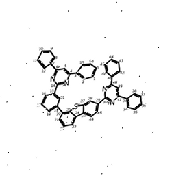 c1ccc(-c2cc(-c3ccccc3)nc(-c3cccc(-c4cccc5c4sc4cc(-c6nc(-c7ccccc7)cc(-c7ccccc7)n6)ccc45)c3)n2)cc1